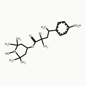 CCC(C)(CC(C)c1ccc(S(=O)(=O)O)cc1)C(=O)OC1CC(C)(C)N(O)C(C)(C)C1